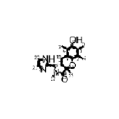 Cc1c(C)c2c(c(C)c1O)CCC(C)(C(=O)N(C)Cc1ncc[nH]1)O2